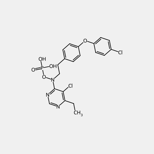 CCc1ncnc(N(CCc2ccc(Oc3ccc(Cl)cc3)cc2)OP(=O)(O)O)c1Cl